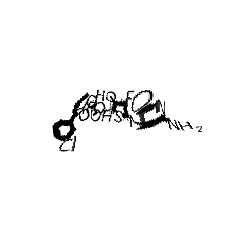 Nc1ccn([C@@H]2S[C@H](CO[PH]3(O)OCCC(c4cccc(Cl)c4)O3)[C@@H](O)[C@@H]2F)c(=O)n1